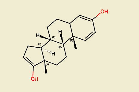 C[C@]12C=CC(O)=CC1CC[C@@H]1[C@H]2CC[C@]2(C)C(O)=CC[C@@H]12